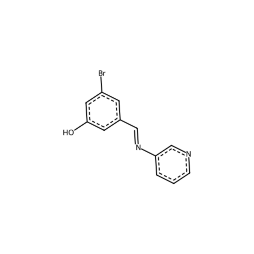 Oc1cc(Br)cc(C=Nc2cccnc2)c1